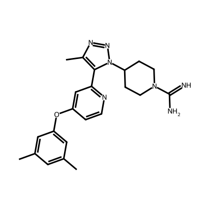 Cc1cc(C)cc(Oc2ccnc(-c3c(C)nnn3C3CCN(C(=N)N)CC3)c2)c1